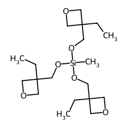 CCC1(CO[Si](C)(OCC2(CC)COC2)OCC2(CC)COC2)COC1